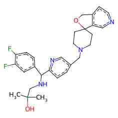 CC(C)(O)CNC(c1ccc(F)c(F)c1)c1ccc(CN2CCC3(CC2)OCc2ccncc23)cn1